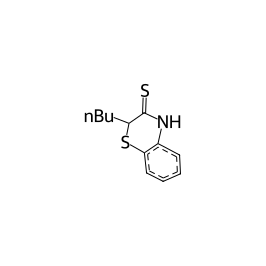 CCCCC1Sc2ccccc2NC1=S